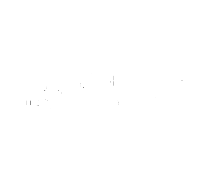 CS(=O)(=O)N1CCN(C(=O)CNC(=O)/C=C/c2ccc(F)c(F)c2)CC1